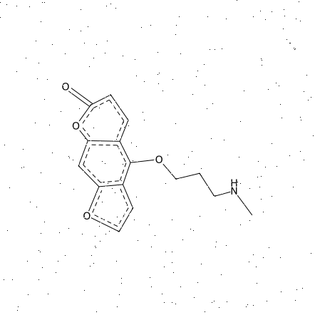 CNCCCOc1c2ccoc2cc2oc(=O)ccc12